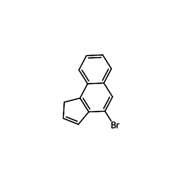 Brc1cc2ccccc2c2c1C=CC2